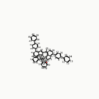 CCC1=Cc2c(-c3ccc(-c4ccccc4)cc3)cccc2[CH]1[Zr]([Cl])([Cl])([CH]1C(CC)=Cc2c(-c3ccc(-c4ccccc4)cc3)cccc21)=[Si](c1ccccc1)c1ccccc1